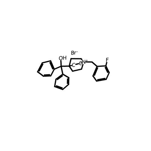 OC(c1ccccc1)(c1ccccc1)C12CC[N+](Cc3ccccc3F)(CC1)CC2.[Br-]